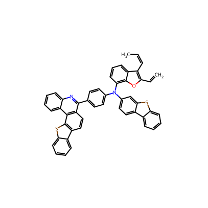 C=Cc1oc2c(N(c3ccc(-c4nc5ccccc5c5c4ccc4c6ccccc6sc45)cc3)c3ccc4c(c3)sc3ccccc34)cccc2c1/C=C\C